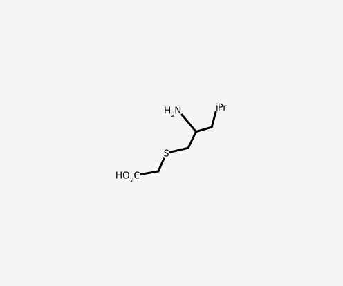 CC(C)CC(N)CSCC(=O)O